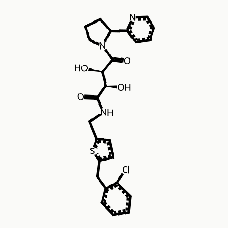 O=C(NCc1ccc(Cc2ccccc2Cl)s1)[C@H](O)[C@@H](O)C(=O)N1CCCC1c1ccccn1